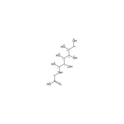 O=C(O)CNC(O)C(O)C(O)C(O)C(O)CO